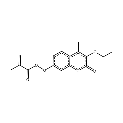 C=C(C)C(=O)OOc1ccc2c(C)c(OCC)c(=O)oc2c1